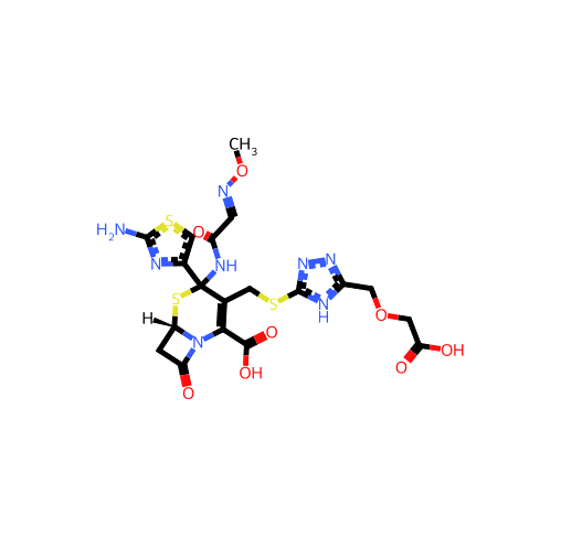 CON=CC(=O)NC1(c2csc(N)n2)S[C@H]2CC(=O)N2C(C(=O)O)=C1CSc1nnc(COCC(=O)O)[nH]1